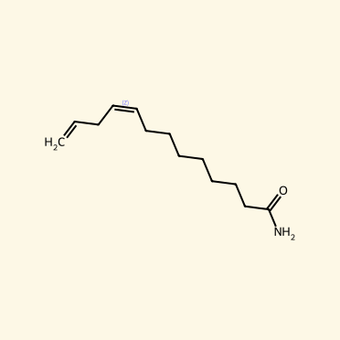 C=CC/C=C\CCCCCCCC(N)=O